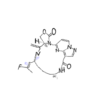 C=C1/N=C(\C=C(/C)F)CCC[C@@H](C)NC(=O)c2cnn3ccc(nc23)N2C(=O)OC[C@H]12